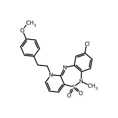 COc1ccc(CCN2C=CC=C3C2=Nc2cc(Cl)ccc2N(C)S3(=O)=O)cc1